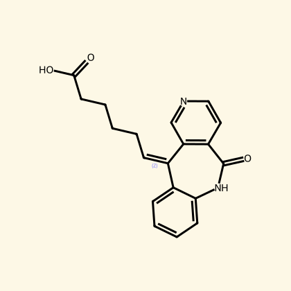 O=C(O)CCCC/C=C1/c2ccccc2NC(=O)c2ccncc21